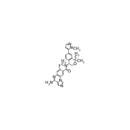 CN(C(=O)c1cc2c(cc1F)nc(N)c1cncn12)C1COC(C)(C)c2cc(-c3ccnn3C)ccc21